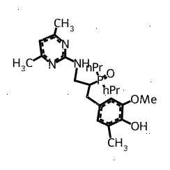 CCCP(=O)(CCC)C(CNc1nc(C)cc(C)n1)Cc1cc(C)c(O)c(OC)c1